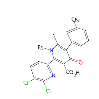 CCn1c(C)c(-c2cccc(C#N)c2)c(=O)c(C(=O)O)c1-c1ccc(Cl)c(Cl)n1